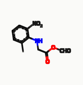 Cc1cccc([N+](=O)[O-])c1NCC(=O)OC=O